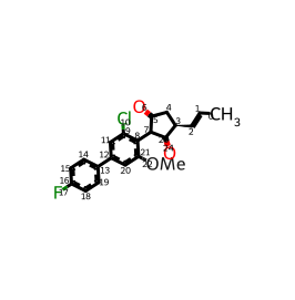 C/C=C/[C@@H]1CC(=O)C(c2c(Cl)cc(-c3ccc(F)cc3)cc2OC)C1=O